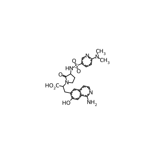 CN(C)c1ccc(S(=O)(=O)NC2CCN(C(Cc3cc4ccnc(N)c4cc3O)C(=O)O)C2=O)cn1